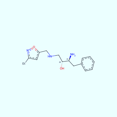 CCc1cc(CNC[C@@H](O)[C@@H](N)Cc2ccccc2)on1